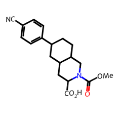 COC(=O)N1CC2CCC(c3ccc(C#N)cc3)CC2CC1C(=O)O